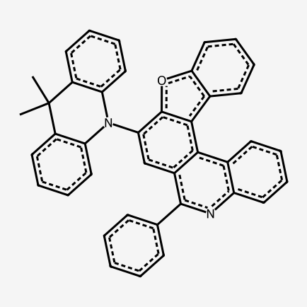 CC1(C)c2ccccc2N(c2cc3c(-c4ccccc4)nc4ccccc4c3c3c2oc2ccccc23)c2ccccc21